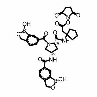 O=C(CC1(NC(=O)[C@@H]2C[C@H](NC(=O)c3ccc4c(c3)B(O)OC4)CN2C(=O)c2ccc3c(c2)B(O)OC3)CCCC1)ON1C(=O)CCC1=O